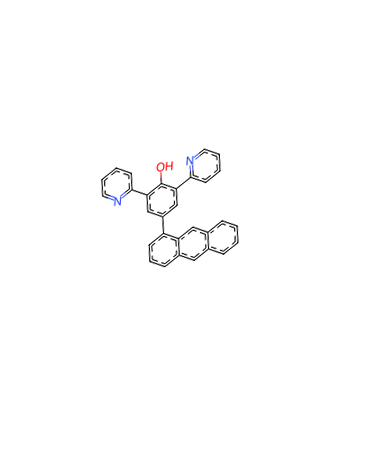 Oc1c(-c2ccccn2)cc(-c2cccc3cc4ccccc4cc23)cc1-c1ccccn1